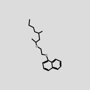 CCCCC(C)CC(C)OCCOc1cccc2ccccc12